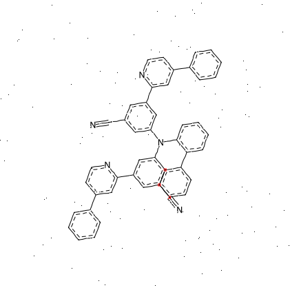 N#Cc1cc(-c2cc(-c3ccccc3)ccn2)cc(N(c2cc(C#N)cc(-c3cc(-c4ccccc4)ccn3)c2)c2ccccc2-c2ccccc2)c1